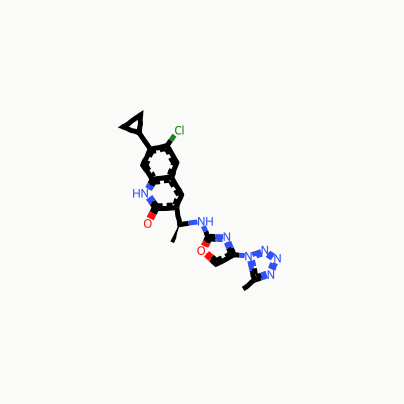 Cc1nnnn1-c1coc(N[C@@H](C)c2cc3cc(Cl)c(C4CC4)cc3[nH]c2=O)n1